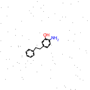 Nc1ccc(CCc2ccccc2)cc1O